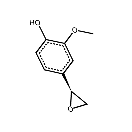 COc1cc([C@H]2CO2)ccc1O